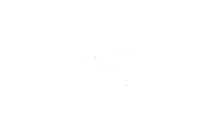 O=C(CO)S(=O)(=O)[O-].[K+]